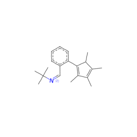 CC1=C(C)C(C)C(c2ccccc2/C=N\C(C)(C)C)=C1C